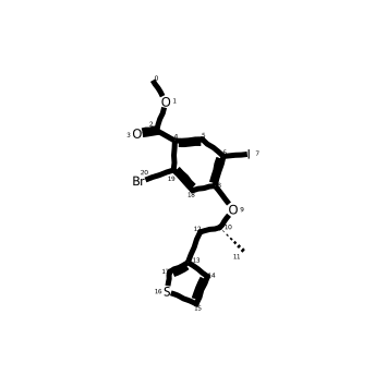 COC(=O)c1cc(I)c(O[C@H](C)Cc2ccsc2)cc1Br